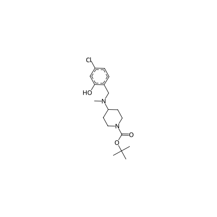 CN(Cc1ccc(Cl)cc1O)C1CCN(C(=O)OC(C)(C)C)CC1